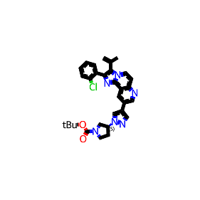 C=C(C)c1c(-c2ccccc2Cl)nc2c3cc(-c4cnn([C@H]5CCN(C(=O)OC(C)(C)C)C5)c4)cnc3ccn12